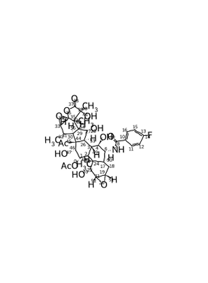 CC(=O)O[C@H]1[C@H]2[C@@H]([C@@H](O)[C@H](NC(=O)c3ccc(F)cc3)[C@H]3C[C@@H]4O[C@@H]4[C@H](O)[C@]23C)[C@@H]2[C@@H](O)[C@@H]3[C@H]([C@H](C)[C@H]4O[C@]45OC(=O)[C@@](C)(O)[C@]35C)[C@@]2(C(C)=O)[C@H]1O